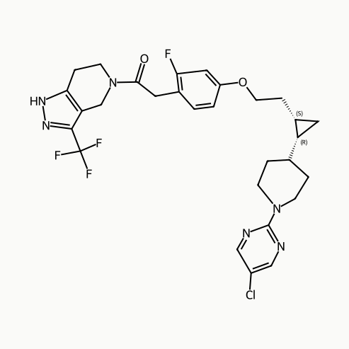 O=C(Cc1ccc(OCC[C@@H]2C[C@@H]2C2CCN(c3ncc(Cl)cn3)CC2)cc1F)N1CCc2[nH]nc(C(F)(F)F)c2C1